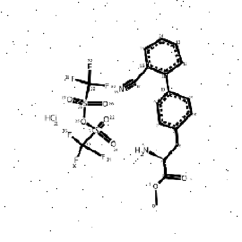 COC(=O)[C@@H](N)Cc1ccc(-c2ccccc2C#N)cc1.Cl.O=S(=O)(OS(=O)(=O)C(F)(F)F)C(F)(F)F